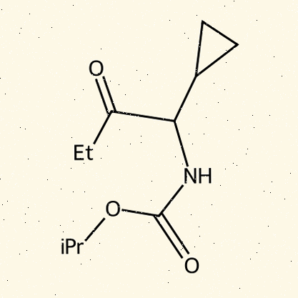 CCC(=O)C(NC(=O)OC(C)C)C1CC1